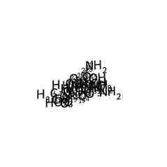 CC(C)C[C@H](NC(=O)[C@H](Cc1ccccc1)NC(=O)[C@H](C)NC(=O)[C@H](CCCCN)N(C(=O)[C@@H](NC(=O)[C@@H](N)CC(N)=O)[C@@H](C)O)C(C)C)C(=O)O